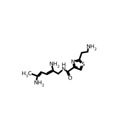 C/C(N)=C/C=C(\N)CNC(=O)c1csc(CCN)n1